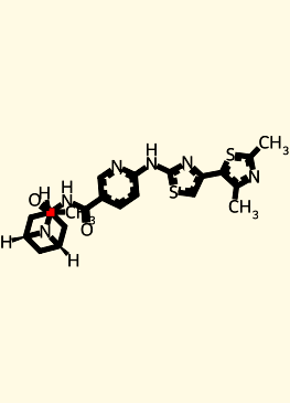 CC(=O)N1[C@@H]2C[C@@H](NC(=O)c3ccc(Nc4nc(-c5sc(C)nc5C)cs4)nc3)C[C@H]1C2